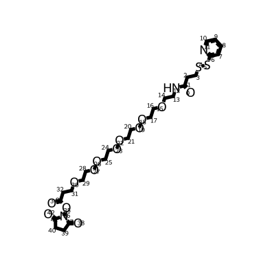 O=C(CCSSc1ccccn1)NCCOCCOOCCOOCCOOCCOCCC(=O)ON1C(=O)CCC1=O